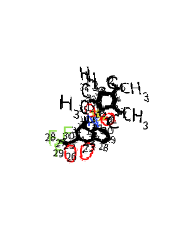 CC(C)c1cc(C(C)C)c(S(=O)(=O)n2cc3c4c(cccc42)C(=O)C(C(=O)C(F)(F)F)C3)c(C(C)C)c1